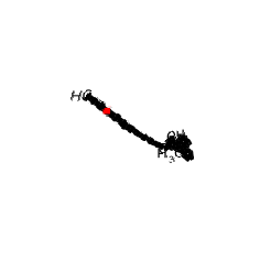 C#CC#CC#CC#CC#CC#CC#CC#CC#CC#CC#COc1cc(O)cc(C(C)(c2ccccc2)c2ccccc2)c1